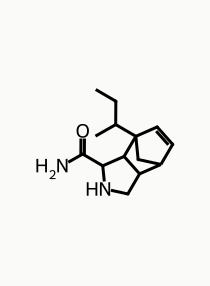 CCC(C)C12C=CC(C1)C1CNC(C(N)=O)C12